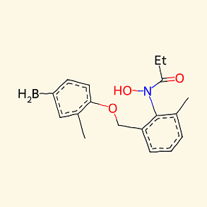 Bc1ccc(OCc2cccc(C)c2N(O)C(=O)CC)c(C)c1